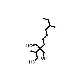 CCC(C)CCCCC(CO)(CO)C(C)CO